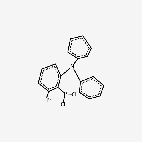 CC(C)c1cccc(N(c2ccccc2)c2ccccc2)c1P(Cl)Cl